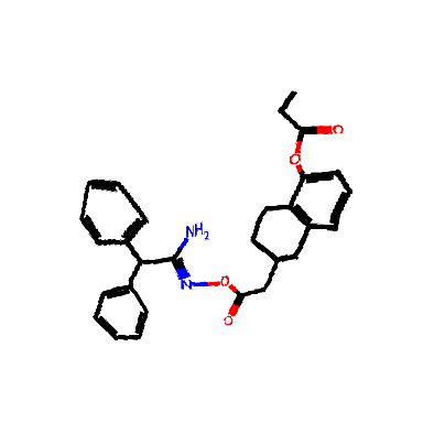 CCC(=O)Oc1cccc2c1CCC(CC(=O)ON=C(N)C(c1ccccc1)c1ccccc1)C2